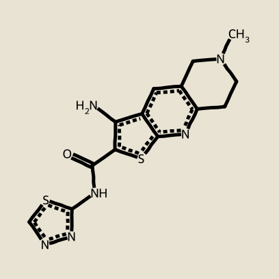 CN1CCc2nc3sc(C(=O)Nc4nncs4)c(N)c3cc2C1